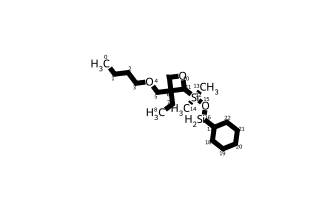 CCCCOCC1(CC)COC1[Si](C)(C)O[SiH2]C1CCCCC1